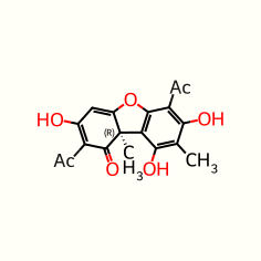 CC(=O)C1=C(O)C=C2Oc3c(C(C)=O)c(O)c(C)c(O)c3[C@@]2(C)C1=O